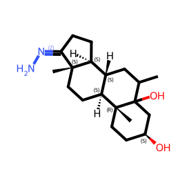 CC1C[C@H]2[C@@H]3CC/C(=N/N)[C@@]3(C)CC[C@@H]2[C@@]2(C)CC[C@H](O)CC12O